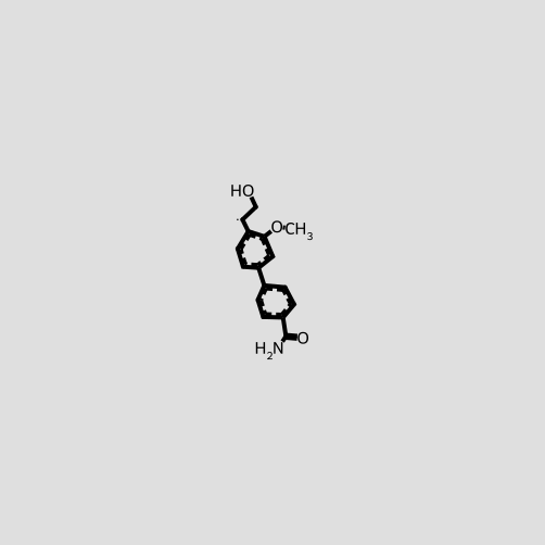 COc1cc(-c2ccc(C(N)=O)cc2)ccc1[CH]CO